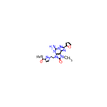 CNC(=O)c1ccn(CCn2c(=O)n(C)c3c2nc(N)n2nc(-c4ccco4)nc32)n1